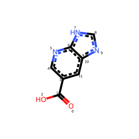 O=C(O)c1cnc2[nH]cnc2c1